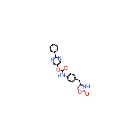 O=C1N[C@H](Cc2ccc(NC(=O)Oc3cnc(-c4ccccc4)nc3)cc2)CO1